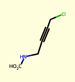 O=C(O)NCC#CCCl